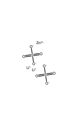 O=S(=O)([O-])[O-].O=S(=O)([O-])[O-].[Li+].[Li+].[Zn+2]